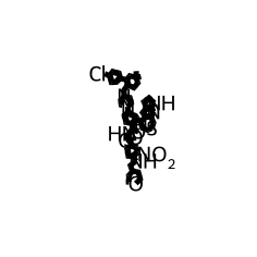 CC1(C)CCC(CN2CCN(c3ccc(C(=O)NS(=O)(=O)c4ccc(NCC5CCOCC5)c([N+](=O)[O-])c4)c(N4CCSCc5nc6[nH]ccc6cc54)c3)CC2)=C(c2ccc(Cl)cc2)C1